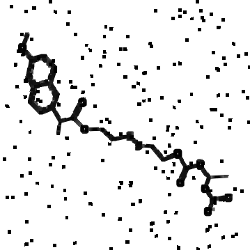 COc1ccc2cc(C(C)C(=O)OCCSSCCOC(=O)OC(C)O[N+](=O)[O-])ccc2c1